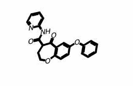 O=C(Nc1ccccn1)C1CCOc2ccc(Oc3ccccc3)cc2C1=O